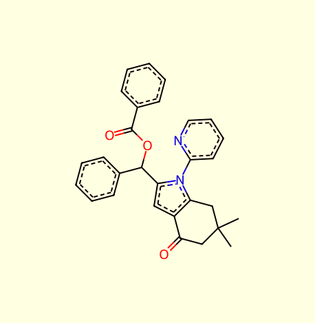 CC1(C)CC(=O)c2cc(C(OC(=O)c3ccccc3)c3ccccc3)n(-c3ccccn3)c2C1